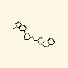 Cn1cnc2ccc(C3CCCC(OCC(O)CN4CCc5ccccc5C4)C3)cc21